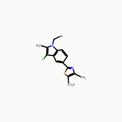 Cc1nc(-c2ccc3c(c2)c(Cl)c(C)n3CC(C)C)sc1C(=O)O